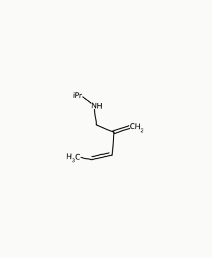 C=C(/C=C\C)CNC(C)C